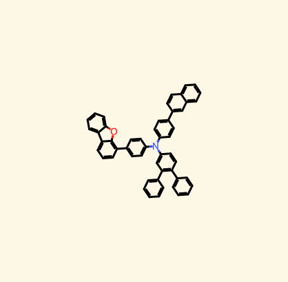 c1ccc(-c2ccc(N(c3ccc(-c4ccc5ccccc5c4)cc3)c3ccc(-c4cccc5c4oc4ccccc45)cc3)cc2-c2ccccc2)cc1